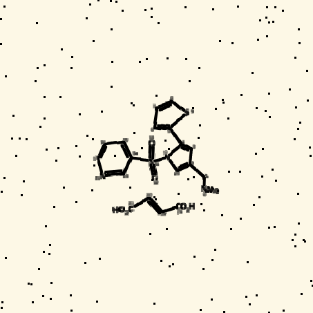 CNCc1cc(-c2cccs2)n(S(=O)(=O)c2cccnc2)c1.O=C(O)C=CC(=O)O